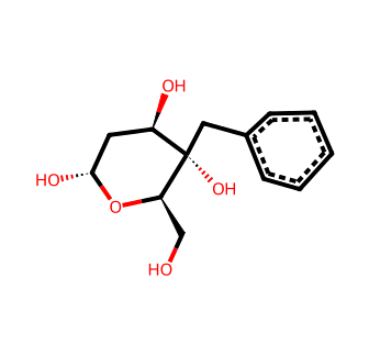 OC[C@H]1O[C@H](O)C[C@@H](O)[C@@]1(O)Cc1ccccc1